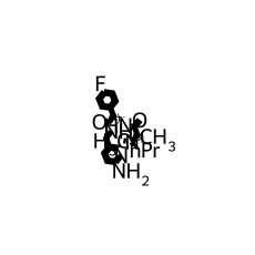 CCCN(C)[C@@H](C)C(=O)NC[C@H](C(=O)NCc1ccc(N)nc1)c1ccc(F)cc1